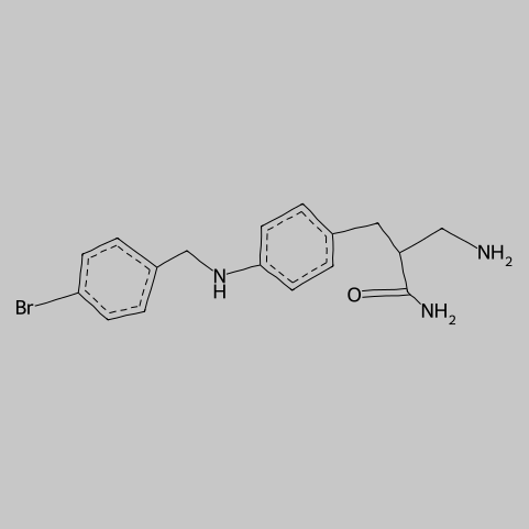 NCC(Cc1ccc(NCc2ccc(Br)cc2)cc1)C(N)=O